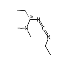 CCN=C=N[C@@H](CC)N(C)C